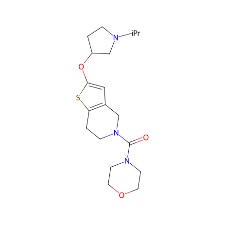 CC(C)N1CCC(Oc2cc3c(s2)CCN(C(=O)N2CCOCC2)C3)C1